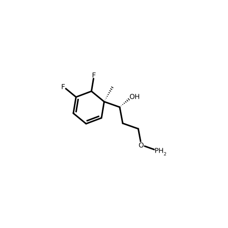 C[C@]1([C@H](O)CCOP)C=CC=C(F)C1F